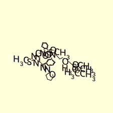 CSc1nccc(-c2nn(C3CCCCO3)c3ccc(N(C(C)CCOCCO[Si](C)(C)C(C)(C)C)S(=O)(=O)c4ccccc4[N+](=O)[O-])cc23)n1